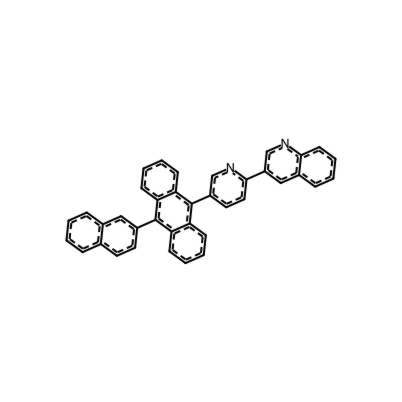 c1ccc2cc(-c3c4ccccc4c(-c4ccc(-c5cnc6ccccc6c5)nc4)c4ccccc34)ccc2c1